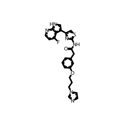 O=C(Cc1cccc(OCCCn2ccnc2)c1)Nc1nc(-c2c[nH]c3nccc(F)c23)cs1